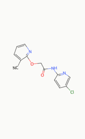 N#Cc1cccnc1OCC(=O)Nc1ccc(Cl)cn1